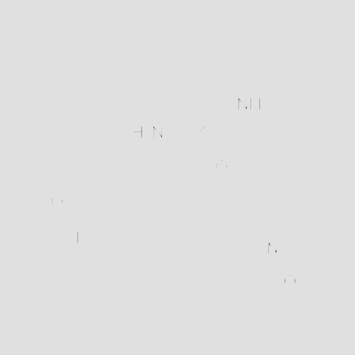 NS(N)(=O)=O.O=Ic1ccc([N+](=O)[O-])cc1